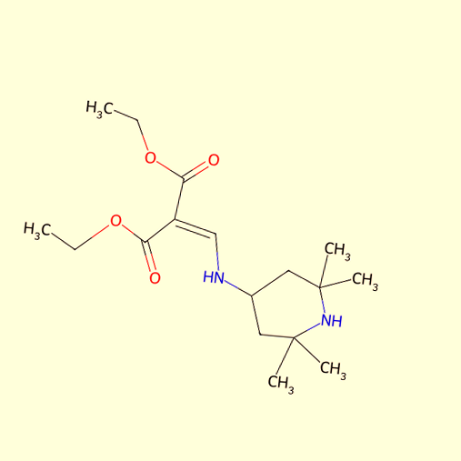 CCOC(=O)C(=CNC1CC(C)(C)NC(C)(C)C1)C(=O)OCC